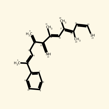 C=C(C/C=C(\C)c1ccccc1)C(=N)/C(C)=C/C(C)=C(C)/C=C\S